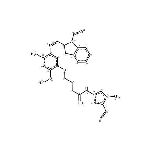 C=C(CCCOc1cc(/N=C\C2Cc3ccccc3N2C=O)c(C)cc1OC)Nc1cn(C)c(C=O)n1